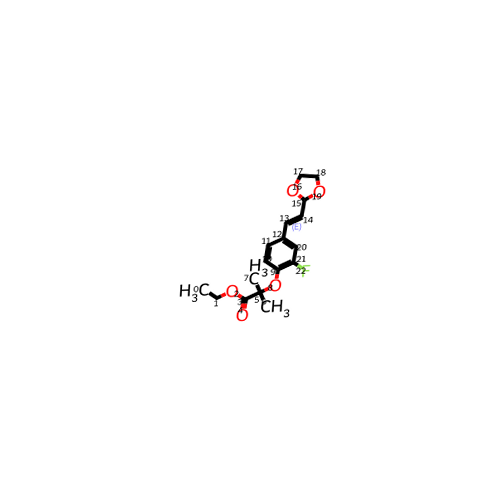 CCOC(=O)C(C)(C)Oc1ccc(/C=C/C2OCCO2)cc1F